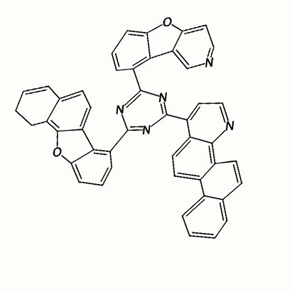 C1=Cc2ccc3c(oc4cccc(-c5nc(-c6ccnc7c6ccc6c8ccccc8ccc67)nc(-c6cccc7oc8ccncc8c67)n5)c43)c2CC1